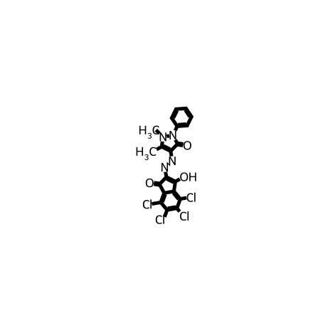 Cc1c(/N=N/C2=C(O)c3c(Cl)c(Cl)c(Cl)c(Cl)c3C2=O)c(=O)n(-c2ccccc2)n1C